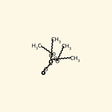 CCCCCCCCCC(CCCCCCCCC)C(=O)OCCC1(CCOC(=O)C(CCCCCCCCC)CCCCCCCCC)CCN(CCCCOCc2ccccc2)CC1